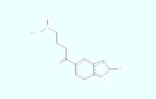 CC(=O)c1cc2cc(C(=O)CCCN(C)C)ccc2[nH]1